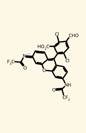 O=Cc1cc(Cl)c(-c2c3cc/c(=N/C(=O)C(F)(F)F)cc-3oc3cc(NC(=O)C(F)(F)F)ccc23)c(C(=O)O)c1Cl